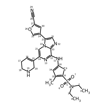 CCN(CC)S(=O)(=O)c1sc(Nc2nc(C3=CCCNC3)cn3c(-c4coc(C#N)c4)cnc23)cc1C